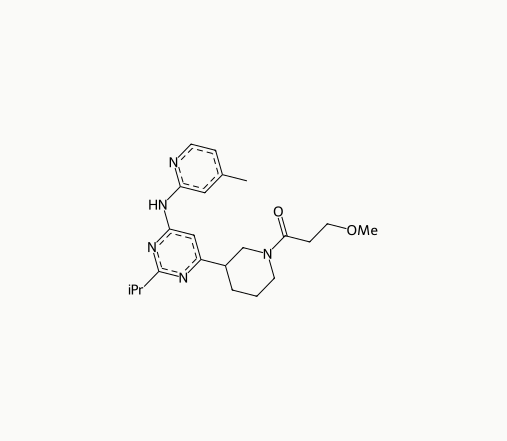 COCCC(=O)N1CCCC(c2cc(Nc3cc(C)ccn3)nc(C(C)C)n2)C1